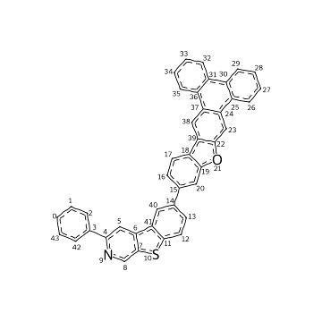 c1ccc(-c2cc3c(cn2)sc2ccc(-c4ccc5c(c4)oc4cc6c7ccccc7c7ccccc7c6cc45)cc23)cc1